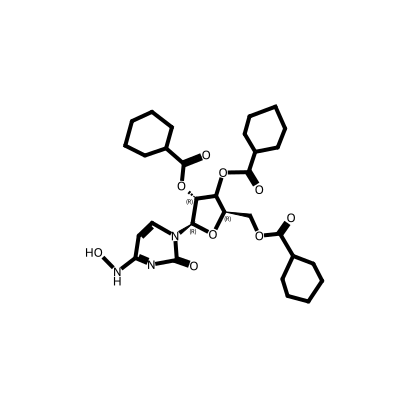 O=C(OC[C@H]1O[C@@H](n2ccc(NO)nc2=O)[C@H](OC(=O)C2CCCCC2)C1OC(=O)C1CCCCC1)C1CCCCC1